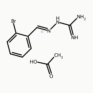 CC(=O)O.N=C(N)N/N=C/c1ccccc1Br